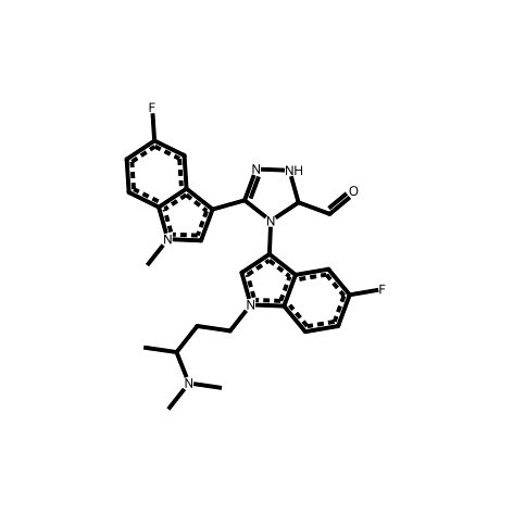 CC(CCn1cc(N2C(c3cn(C)c4ccc(F)cc34)=NNC2C=O)c2cc(F)ccc21)N(C)C